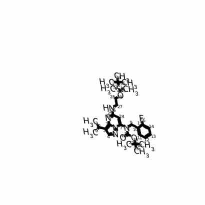 CC(C)c1cnn2c(N(Cc3ccccc3F)C(=O)OC(C)(C)C)cc(NCCO[Si](C)(C)C(C)(C)C)nc12